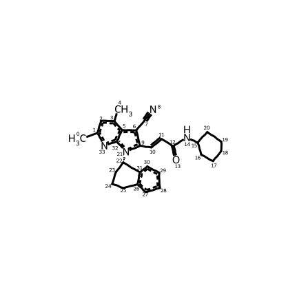 Cc1cc(C)c2c(C#N)c(/C=C/C(=O)NC3CCCCC3)n([C@H]3CCCc4ccccc43)c2n1